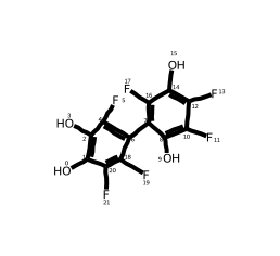 Oc1c(O)c(F)c(-c2c(O)c(F)c(F)c(O)c2F)c(F)c1F